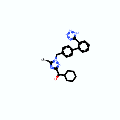 CCCCc1nc(C(=O)C2CCCCC2)nn1Cc1ccc(-c2ccccc2-c2nnn[nH]2)cc1